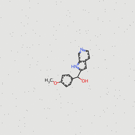 COc1ccc(C(O)c2cc3ccncc3[nH]2)cc1